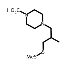 CSSCC(C)CN1CCN(C(=O)O)CC1